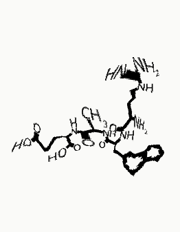 C[C@@H](NC(=O)[C@H](Cc1ccc2ccccc2c1)NC(=O)[C@H](N)CCCNC(=N)N)C(=O)N[C@H](CCC(=O)O)C(=O)O